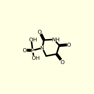 O=C1CN(P(=O)(O)O)C(=O)NC1=O